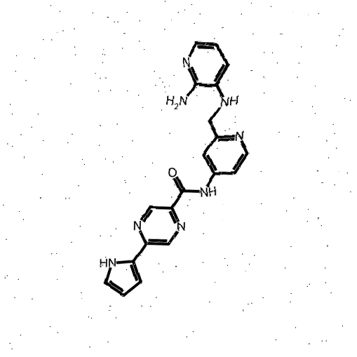 Nc1ncccc1NCc1cc(NC(=O)c2cnc(-c3ccc[nH]3)cn2)ccn1